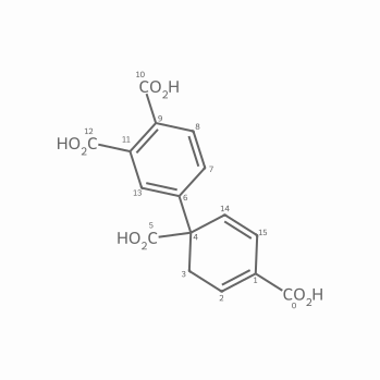 O=C(O)C1=CCC(C(=O)O)(c2ccc(C(=O)O)c(C(=O)O)c2)C=C1